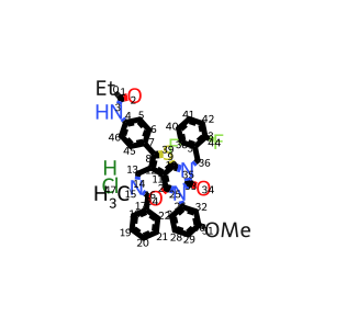 CCC(=O)Nc1ccc(-c2sc3c(c2CN(C)Cc2ccccc2)c(=O)n(-c2cccc(OC)c2)c(=O)n3Cc2c(F)cccc2F)cc1.Cl